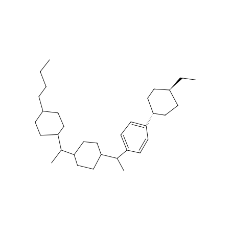 CCCCC1CCC(C(C)C2CCC(C(C)c3ccc([C@H]4CC[C@H](CC)CC4)cc3)CC2)CC1